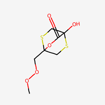 COOCC12CSC(O)(CS1)C(=O)O2